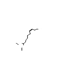 CCOC(CCCCC/C=C\CCBr)OCC